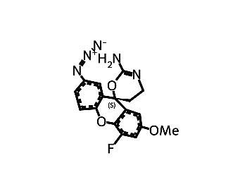 COc1cc(F)c2c(c1)[C@]1(CCN=C(N)O1)c1cc(N=[N+]=[N-])ccc1O2